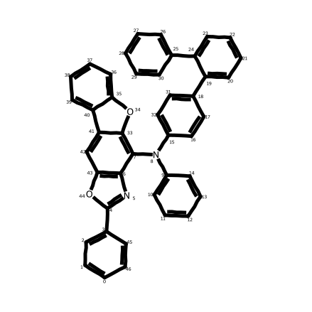 c1ccc(-c2nc3c(N(c4ccccc4)c4ccc(-c5ccccc5-c5ccccc5)cc4)c4oc5ccccc5c4cc3o2)cc1